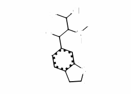 CNC(C(Cl)Cl)C(O)c1ccc2c(c1)SCC2